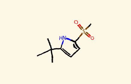 CC(C)(C)c1ccc(S(C)(=O)=O)[nH]1